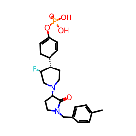 Cc1ccc(CN2CC[C@@H](N3CC[C@@H](C4C=CC(OP(=O)(O)O)=CC4)[C@H](F)C3)C2=O)cc1